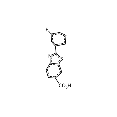 O=C(O)c1ccc2nc(-c3cccc(F)c3)sc2c1